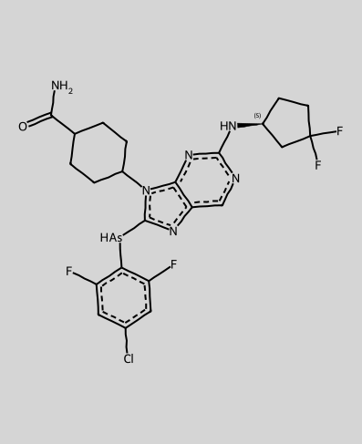 NC(=O)C1CCC(n2c([AsH]c3c(F)cc(Cl)cc3F)nc3cnc(N[C@H]4CCC(F)(F)C4)nc32)CC1